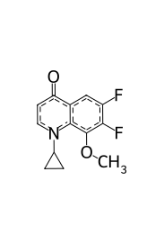 COc1c(F)c(F)cc2c(=O)ccn(C3CC3)c12